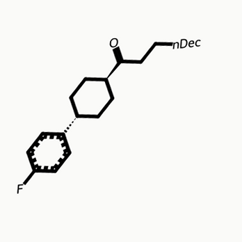 CCCCCCCCCCCCC(=O)[C@H]1CC[C@H](c2ccc(F)cc2)CC1